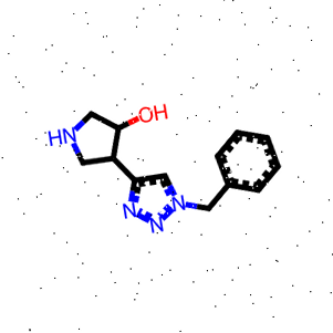 OC1CNCC1c1cn(Cc2ccccc2)nn1